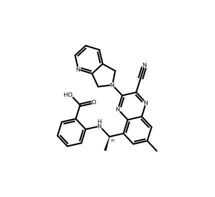 Cc1cc([C@@H](C)Nc2ccccc2C(=O)O)c2nc(N3Cc4cccnc4C3)c(C#N)nc2c1